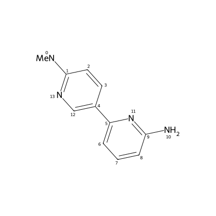 CNc1ccc(-c2cccc(N)n2)cn1